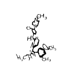 CCNc1nc(-c2cc(C)cc(OC)c2)c(-c2ccnc(Nc3ccc(N4CCN(C)CC4)c(Cl)c3)n2)s1